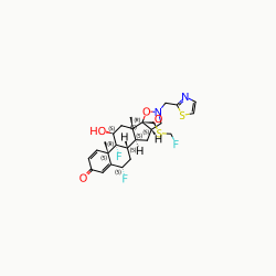 C[C@]12C=CC(=O)C=C1[C@@H](F)C[C@H]1[C@@H]3C[C@H]4CN(Cc5nccs5)O[C@@]4(C(=O)SCF)[C@@]3(C)C[C@H](O)[C@@]12F